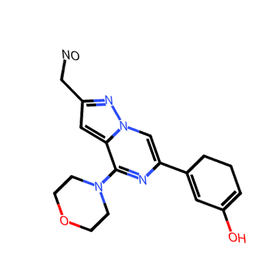 O=NCc1cc2c(N3CCOCC3)nc(C3=CC(O)=CCC3)cn2n1